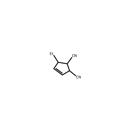 CCC1C=CC(C#N)C1C#N